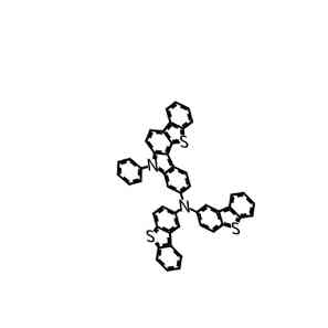 c1ccc(-n2c3cc(N(c4ccc5sc6ccccc6c5c4)c4ccc5sc6ccccc6c5c4)ccc3c3c4sc5ccccc5c4ccc32)cc1